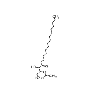 CCCCCCCCCCCCCCCC(=O)C(O)C(CO)OC(C)=O